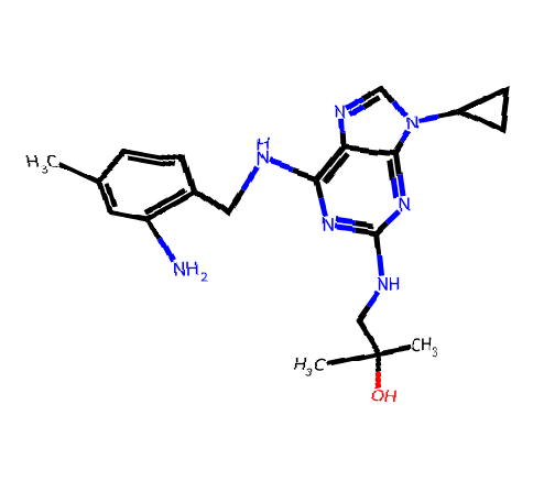 Cc1ccc(CNc2nc(NCC(C)(C)O)nc3c2ncn3C2CC2)c(N)c1